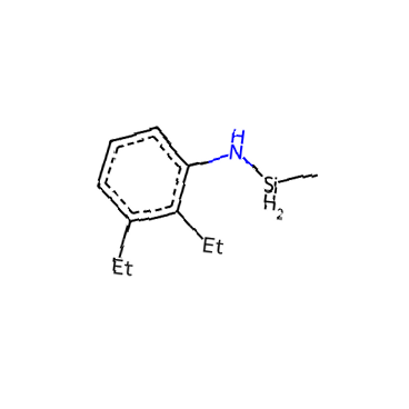 CCc1cccc(N[SiH2]C)c1CC